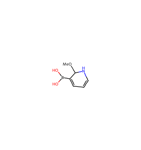 COC1NC=CC=C1B(O)O